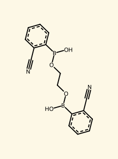 N#Cc1ccccc1B(O)OCCOB(O)c1ccccc1C#N